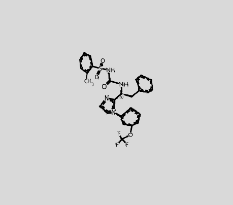 Cc1ccccc1S(=O)(=O)NC(=O)N[C@@H](Cc1ccccc1)c1nccn1-c1cccc(OC(F)(F)F)c1